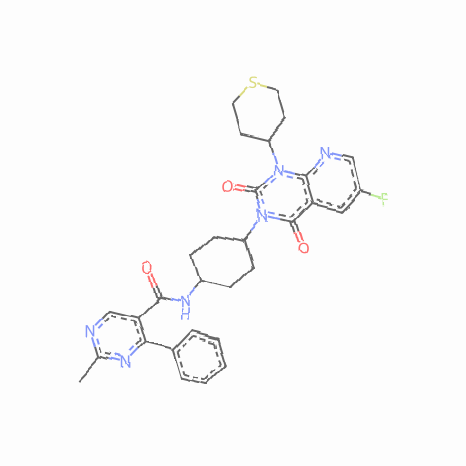 Cc1ncc(C(=O)NC2CCC(n3c(=O)c4cc(F)cnc4n(C4CCSCC4)c3=O)CC2)c(-c2ccccc2)n1